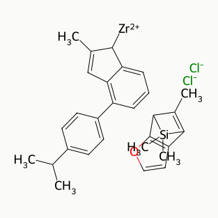 CC1=C2c3ccoc3C1[Si]2(C)C.CC1=Cc2c(-c3ccc(C(C)C)cc3)cccc2[CH]1[Zr+2].[Cl-].[Cl-]